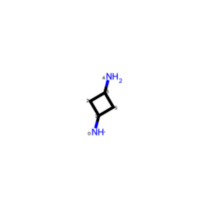 [NH]C1CC(N)C1